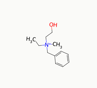 CC[N+](C)(CCO)Cc1ccccc1